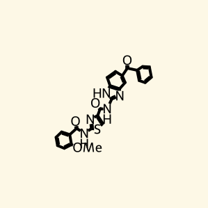 COc1ccccc1C(=O)Nc1nc(C(=O)Nc2nc3cc(C(=O)c4ccccc4)ccc3[nH]2)cs1